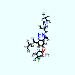 C=C/C(=C\N=C(/C)C(C)(C)F)CNC(=C)c1cc(OC(CCC)CC(C)C(C)(C)F)cc(C(=C)S/C(C)=C\C)c1